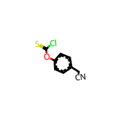 N#CCc1ccc(OC(=S)Cl)cc1